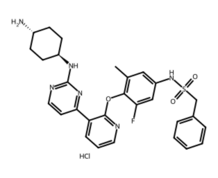 Cc1cc(NS(=O)(=O)Cc2ccccc2)cc(F)c1Oc1ncccc1-c1ccnc(N[C@H]2CC[C@H](N)CC2)n1.Cl